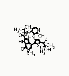 Cc1ccnc(C)c1Nc1cc(C(F)C(C)(C)O)sc1-c1cn(C)c(=O)c2[nH]c(C(=O)NC(C)C)cc12